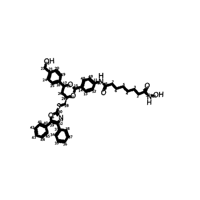 O=C(CCCCCCC(=O)Nc1ccc(C2OC(c3ccc(CO)cc3)C[C@H](CSc3nc(-c4ccccc4)c(-c4ccccc4)o3)O2)cc1)NO